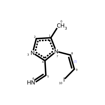 Cc1cnc(C=N)n1/C=C\I